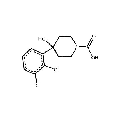 O=C(O)N1CCC(O)(c2cccc(Cl)c2Cl)CC1